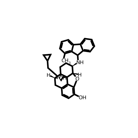 Cc1cccc2c1C(N[C@@H]1CC[C@@]3(O)[C@H]4Cc5ccc(O)c6c5[C@@]3(CCN4CC3CC3)[C@H]1O6)c1ccccc1-2